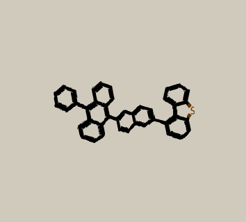 c1ccc(-c2c3ccccc3c(-c3ccc4cc(-c5cccc6sc7ccccc7c56)ccc4c3)c3ccccc23)cc1